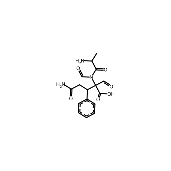 CC(N)C(=O)N(C=O)C(C=O)(C(=O)O)C(CC(N)=O)c1ccccc1